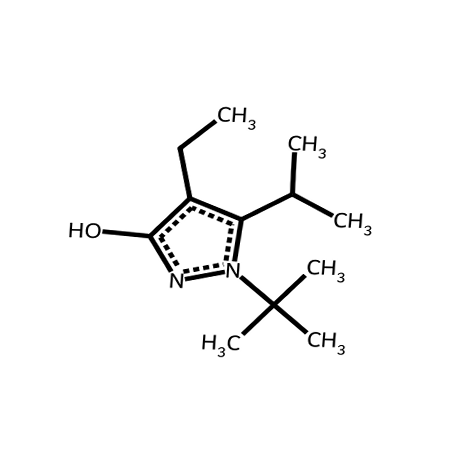 CCc1c(O)nn(C(C)(C)C)c1C(C)C